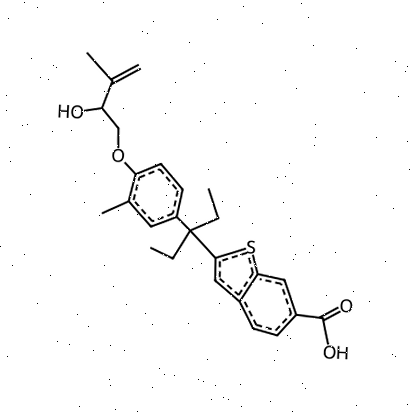 C=C(C)C(O)COc1ccc(C(CC)(CC)c2cc3ccc(C(=O)O)cc3s2)cc1C